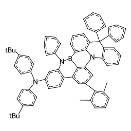 Cc1cccc(C)c1-c1cc2c3c(c1)N1c4ccccc4C(c4ccccc4)(c4ccccc4)c4cccc(c41)B3N(c1ccccc1)c1cc(N(c3ccc(C(C)(C)C)cc3)c3ccc(C(C)(C)C)cc3)ccc1-2